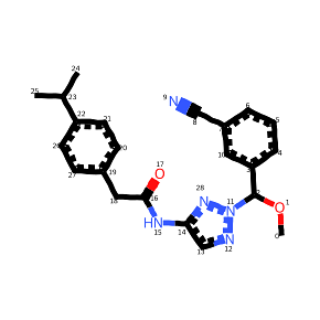 COC(c1cccc(C#N)c1)n1ncc(NC(=O)Cc2ccc(C(C)C)cc2)n1